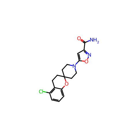 NC(=O)c1cc(N2CCC3(CCc4c(Cl)cccc4O3)CC2)on1